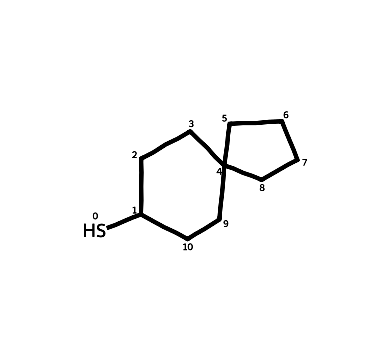 SC1CCC2(CCCC2)CC1